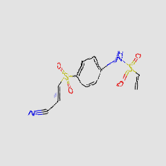 C=CS(=O)(=O)Nc1ccc(S(=O)(=O)/C=C/C#N)cc1